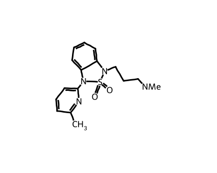 CNCCCN1c2ccccc2N(c2cccc(C)n2)S1(=O)=O